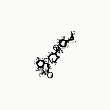 Cn1c(=O)cc(N2CCC(c3nc4cc(C5CC5)ccc4o3)CC2)c2ccccc21